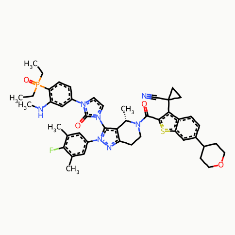 CCP(=O)(CC)c1ccc(-n2ccn(-c3c4c(nn3-c3cc(C)c(F)c(C)c3)CCN(C(=O)c3sc5cc(C6CCOCC6)ccc5c3C3(C#N)CC3)[C@H]4C)c2=O)cc1NC